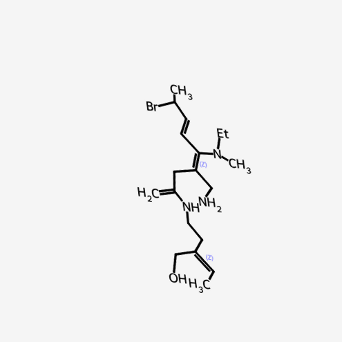 C=C(C/C(CN)=C(\C=CC(C)Br)N(C)CC)NCC/C(=C/C)CO